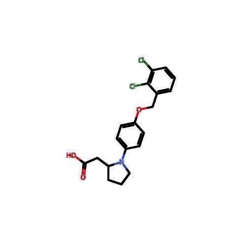 O=C(O)CC1CCCN1c1ccc(OCc2cccc(Cl)c2Cl)cc1